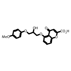 COc1ccc(OCC(O)COc2cccc3oc(C(=O)O)cc(=O)c23)cc1